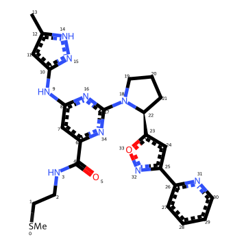 CSCCNC(=O)c1cc(Nc2cc(C)[nH]n2)nc(N2CCC[C@H]2c2cc(-c3ccccn3)no2)n1